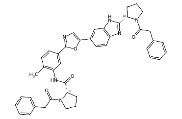 Cc1ccc(-c2ncc(-c3ccc4nc([C@@H]5CCCN5C(=O)Cc5ccccc5)[nH]c4c3)o2)cc1NC(=O)[C@@H]1CCCN1C(=O)Cc1ccccc1